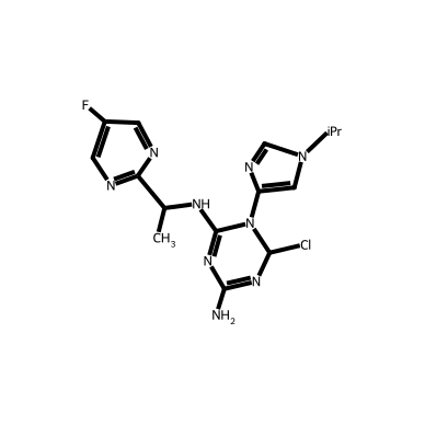 CC(NC1=NC(N)=NC(Cl)N1c1cn(C(C)C)cn1)c1ncc(F)cn1